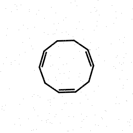 [C]1=C\C/C=C\C/C=C\CC/1